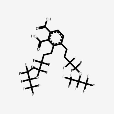 O=C(O)c1ccc(CCC(F)(F)C(F)(F)OC(F)(C(F)(F)F)C(F)(F)F)c(CCC(F)(F)C(F)(F)OC(F)(C(F)(F)F)C(F)(F)F)c1C(=O)O